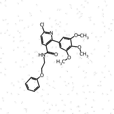 COc1cc(-c2nc(Cl)ccc2C(=O)NCCOc2ccccc2)cc(OC)c1OC